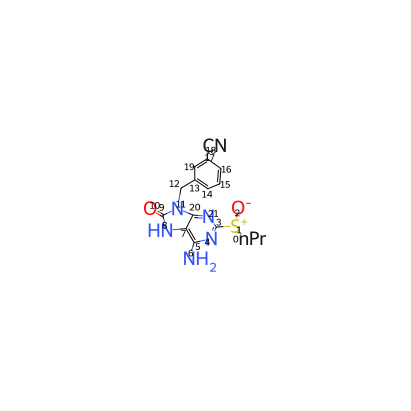 CCC[S+]([O-])c1nc(N)c2[nH]c(=O)n(Cc3cccc(C#N)c3)c2n1